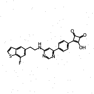 O=c1c(O)c(-c2ccc(-c3cc(NCCc4cc(F)c5sccc5c4)ncn3)cc2)c1=O